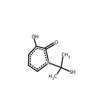 CC(C)(S)n1cccc(O)c1=O